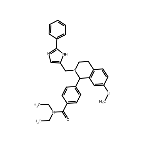 CCN(CC)C(=O)c1ccc(C2c3cc(OC)ccc3CCN2Cc2cnc(-c3ccccc3)[nH]2)cc1